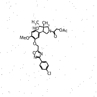 COc1ccc([C@@H]2CN(C(=O)COC(C)=O)C[C@@]2(C)[C@@H](C)O)cc1OCc1nc(-c2ccc(Cl)cc2)no1